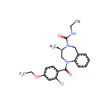 C[C@@H]1CN(C(=O)c2ccc(OCC(F)(F)F)cc2Cl)c2ccccc2CN1C(=O)NCC#N